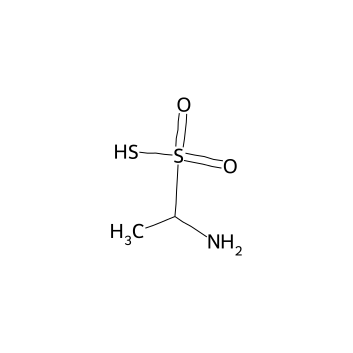 CC(N)S(=O)(=O)S